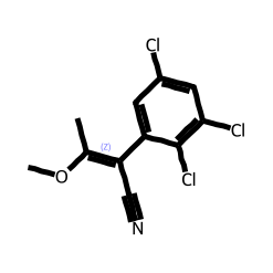 CO/C(C)=C(\C#N)c1cc(Cl)cc(Cl)c1Cl